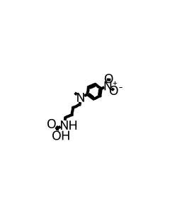 CN(CCCCNC(=O)O)c1ccc([N+](=O)[O-])cc1